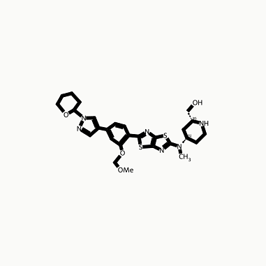 COCOc1cc(-c2cnn(C3CCCCO3)c2)ccc1-c1nc2sc(N(C)[C@H]3CCN[C@@H](CO)C3)nc2s1